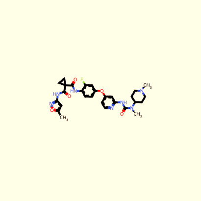 Cc1cc(NC(=O)C2(C(=O)Nc3ccc(Oc4ccnc(NC(=O)N(C)C5CCN(C)CC5)c4)cc3F)CC2)no1